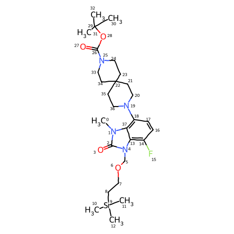 Cn1c(=O)n(COCC[Si](C)(C)C)c2c(F)ccc(N3CCC4(CCN(C(=O)OC(C)(C)C)CC4)CC3)c21